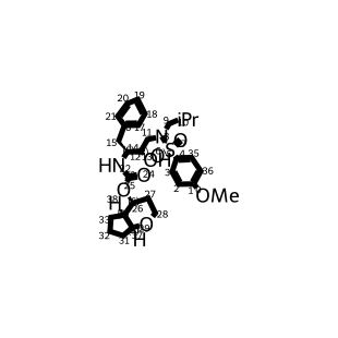 COc1ccc(S(=O)(=O)N(CC(C)C)C[C@@H](O)[C@H](Cc2ccccc2)NC(=O)O[C@H]2CCO[C@H]3CCC[C@H]32)cc1